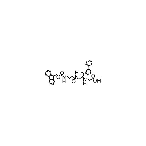 O=C(O)CC(NC(=O)CNC(=O)CCCNC(=O)OCC1c2ccccc2-c2ccccc21)c1ccc(-c2ccccc2)cc1